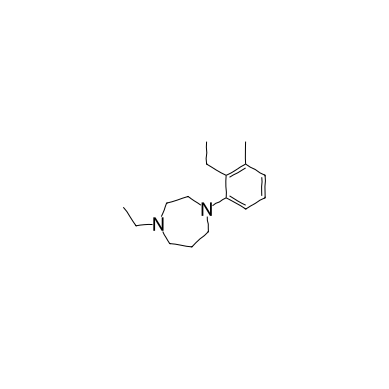 CCc1c(C)cccc1N1CCCN(CC)CC1